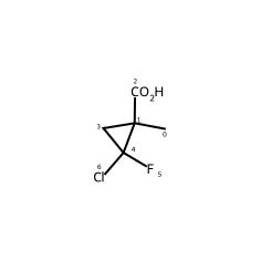 CC1(C(=O)O)CC1(F)Cl